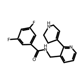 O=C(NCc1cccnc1C1=CCNCC1)c1cc(F)cc(F)c1